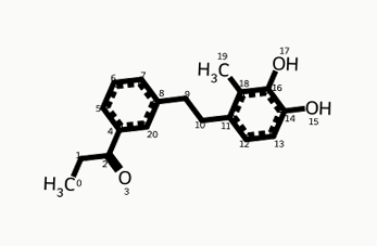 CCC(=O)c1cccc(CCc2ccc(O)c(O)c2C)c1